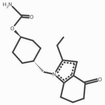 CCc1cc2c(n1C[C@H]1CC[C@H](OC(N)=O)CC1)CCCC2=O